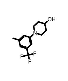 Cc1cc(N2CCC(O)CC2)cc(C(F)(F)F)c1